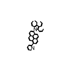 C/C=C\c1c(CC)c(/C=C\C)n(-c2ccc3ccc4c(-c5ccccn5)ccc5ccc2c3c54)c1/C=C\C